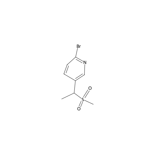 CC(c1ccc(Br)nc1)S(C)(=O)=O